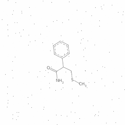 CSCC(C(N)=O)c1ccccc1